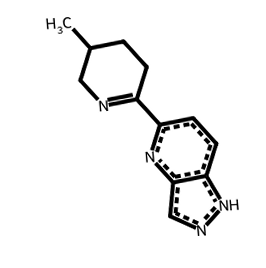 CC1CCC(c2ccc3[nH]ncc3n2)=NC1